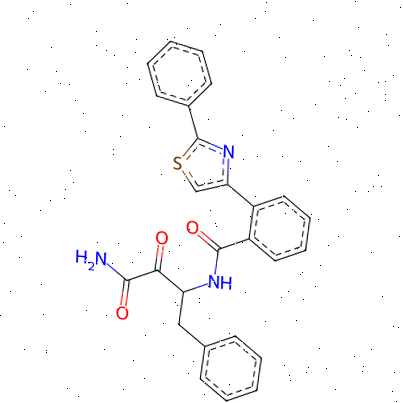 NC(=O)C(=O)C(Cc1ccccc1)NC(=O)c1ccccc1-c1csc(-c2ccccc2)n1